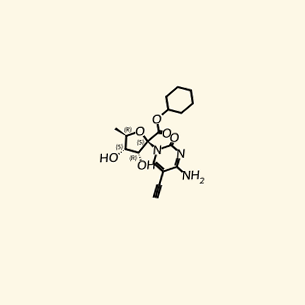 C#Cc1cn([C@]2(C(=O)OC3CCCCC3)O[C@H](C)[C@@H](O)[C@H]2O)c(=O)nc1N